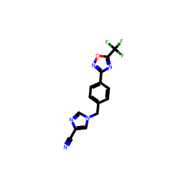 N#Cc1cn(Cc2ccc(-c3noc(C(F)(F)F)n3)cc2)cn1